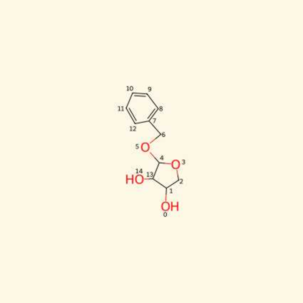 OC1COC(OCc2ccccc2)C1O